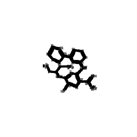 CCC(CN)Nc1nc(Nc2cccc(-c3ncccn3)c2)c(C(N)=O)cc1F